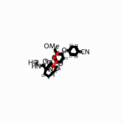 COCCOC(=O)N1CC2CCC(C(=O)NO)(C1)N2S(=O)(=O)c1ccc(Oc2ccc(C#N)cc2)nc1